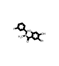 CC(C)c1cc(C(=O)N(C)Cc2cccc(F)c2)c(O)cc1O